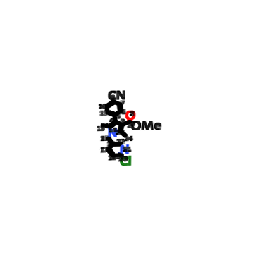 COC(=O)c1c(-c2ccc(C#N)cc2)c(C)n(Cc2ccc(Cl)nc2)c1C